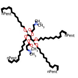 CCCCC/C=C\C/C=C\CCCCCCCCOC[C@@H](OCCCCCCCC/C=C\C/C=C\CCCCC)[C@@H](OC(=O)CCN(C)C)[C@H](OC(=O)CCN(C)C)[C@@H](COCCCCCCCC/C=C\C/C=C\CCCCC)OCCCCCCCC/C=C\C/C=C\CCCCC